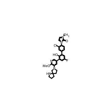 COc1ncc(-c2cc(F)cc(-c3ccc(-n4ccn(C)c4=O)c(Cl)c3)c2O)cc1N1CCC2(CCCN2)C1